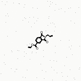 C=CCN1C(=O)c2ccc(C(=O)OC=C)cc2C1=O